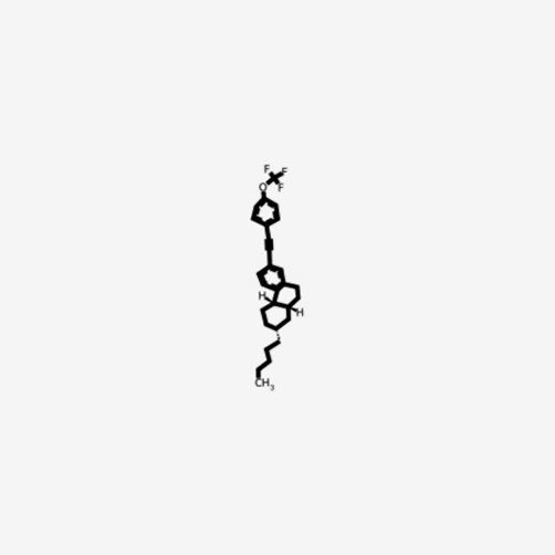 CCCCC[C@@H]1CC[C@@H]2c3ccc(C#Cc4ccc(OC(F)(F)F)cc4)cc3CC[C@@H]2C1